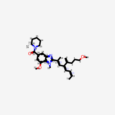 C=C(CCCOC)C(=C\C=C/C)/C=C(\C)c1nc2cc(C(=O)N3CCCC[C@H]3C)cc(OC)c2n1C